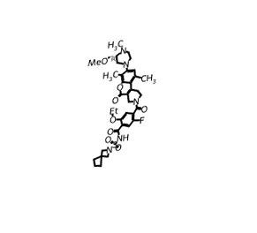 CCOc1cc(C(=O)N2CCc3c(c(=O)oc4c(C)c(N5CCN(C)[C@@H](COC)C5)cc(C)c34)C2)c(F)cc1C(=O)NS(=O)(=O)N1CC2(CCC2)C1